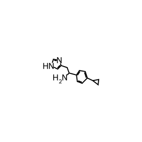 NC(Cc1c[nH]cn1)c1ccc(C2CC2)cc1